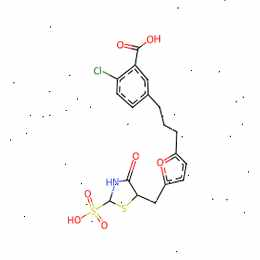 O=C(O)c1cc(CCCc2ccc(CC3SC(S(=O)(=O)O)NC3=O)o2)ccc1Cl